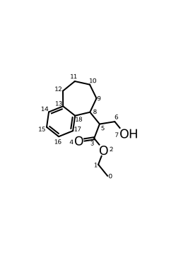 CCOC(=O)C(CO)C1CCCCc2ccccc21